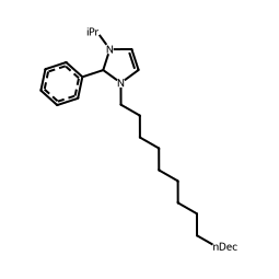 CCCCCCCCCCCCCCCCCCCN1C=CN(C(C)C)C1c1ccccc1